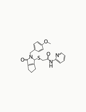 COc1ccc(CN2C(=O)C3=C(CCC3)C2SCC(=O)Nc2ccccn2)cc1